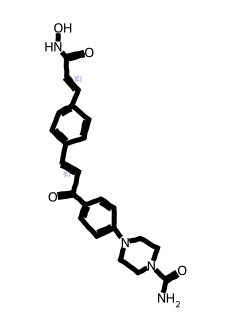 NC(=O)N1CCN(c2ccc(C(=O)/C=C/c3ccc(/C=C/C(=O)NO)cc3)cc2)CC1